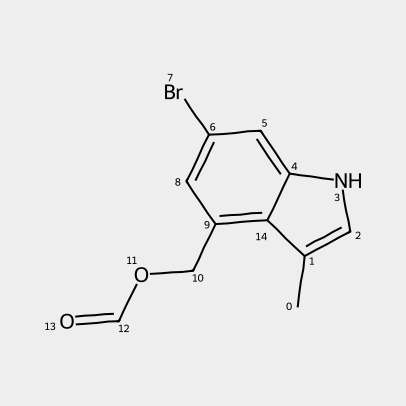 Cc1c[nH]c2cc(Br)cc(COC=O)c12